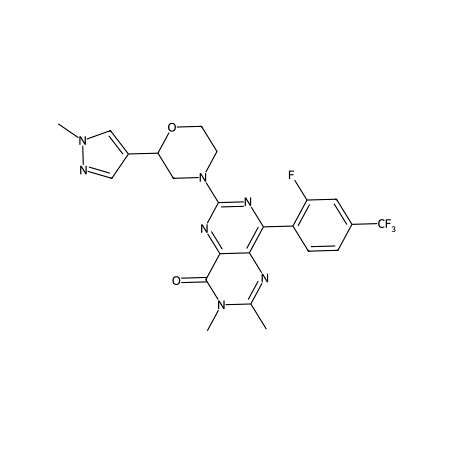 Cc1nc2c(-c3ccc(C(F)(F)F)cc3F)nc(N3CCOC(c4cnn(C)c4)C3)nc2c(=O)n1C